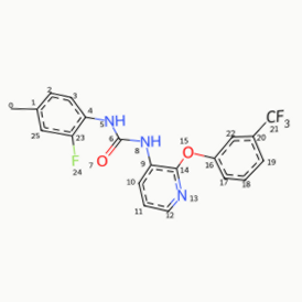 Cc1ccc(NC(=O)Nc2cccnc2Oc2cccc(C(F)(F)F)c2)c(F)c1